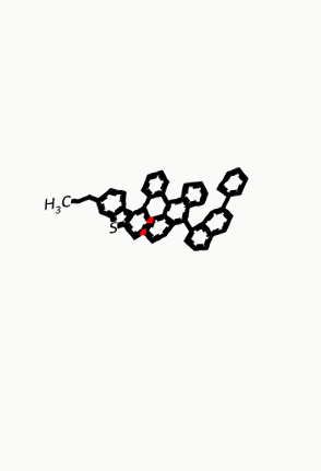 CCCc1ccc2c(c1)sc1cccc(-c3ccccc3-c3c4ccccc4c(-c4cccc5ccc(-c6ccccc6)cc45)c4ccccc34)c12